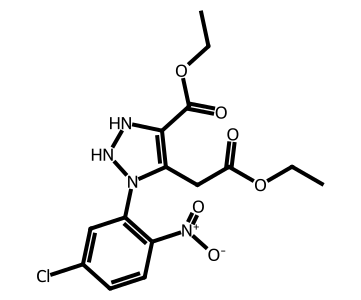 CCOC(=O)CC1=C(C(=O)OCC)NNN1c1cc(Cl)ccc1[N+](=O)[O-]